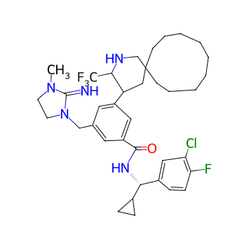 CN1CCN(Cc2cc(C(=O)N[C@H](c3ccc(F)c(Cl)c3)C3CC3)cc(C3CC4(CCCCCCCCC4)CNC3C(F)(F)F)c2)C1=N